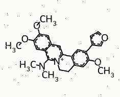 COc1cc2cc3[n+](c(N(C)C)c2cc1OC)CCc1cc(OC)c(-c2ccoc2)cc1-3